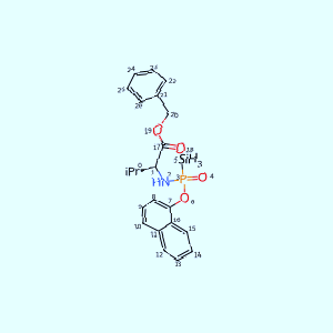 CC(C)[C@H](NP(=O)([SiH3])Oc1cccc2ccccc12)C(=O)OCc1ccccc1